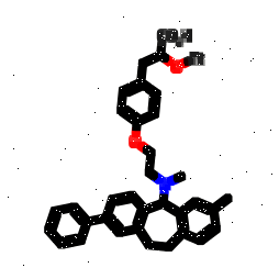 CCOC(Cc1ccc(OCCN(C)C2c3ccc(-c4ccccc4)cc3CCc3ccc(C)cc32)cc1)C(=O)O